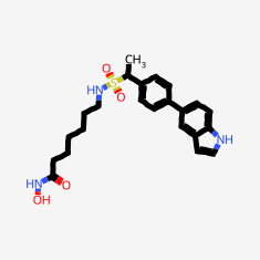 CC(c1ccc(-c2ccc3[nH]ccc3c2)cc1)S(=O)(=O)NCCCCCCC(=O)NO